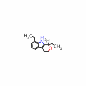 [2H]C1(CC)OCCc2c1[nH]c1c(CC)cccc21